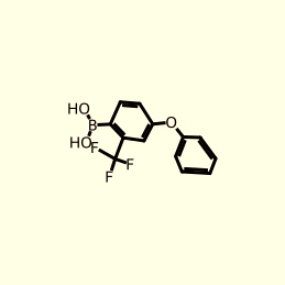 OB(O)c1ccc(Oc2ccccc2)cc1C(F)(F)F